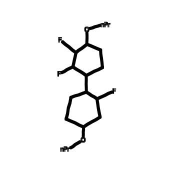 CCCOC1CCC(C2CCC(OCCC)C(F)C2F)C(F)C1